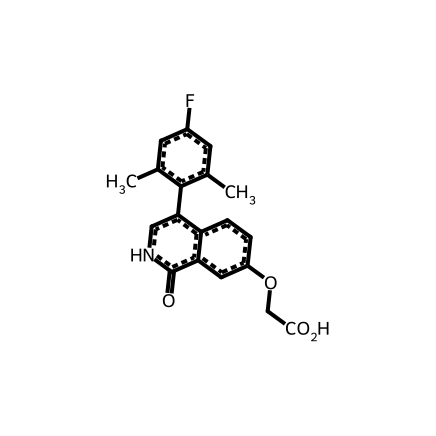 Cc1cc(F)cc(C)c1-c1c[nH]c(=O)c2cc(OCC(=O)O)ccc12